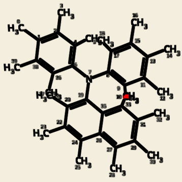 Cc1c(C)c(C)c(N(c2c(C)c(C)c(C)c(C)c2C)c2c(C)c(C)c(C)c3c(C)c(C)c(C)c(C)c23)c(C)c1C